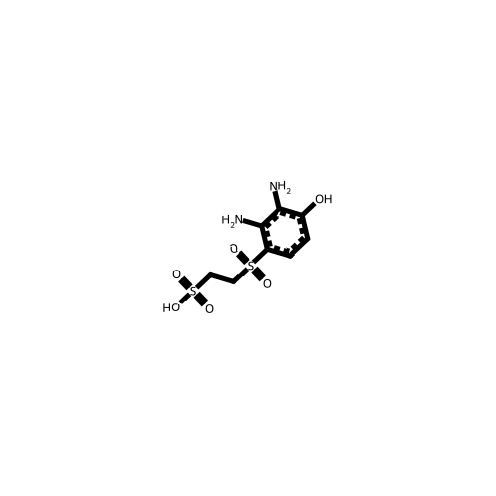 Nc1c(O)ccc(S(=O)(=O)CCS(=O)(=O)O)c1N